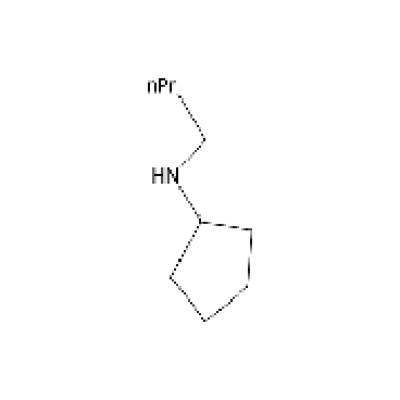 CCCCN[C]1CCCC1